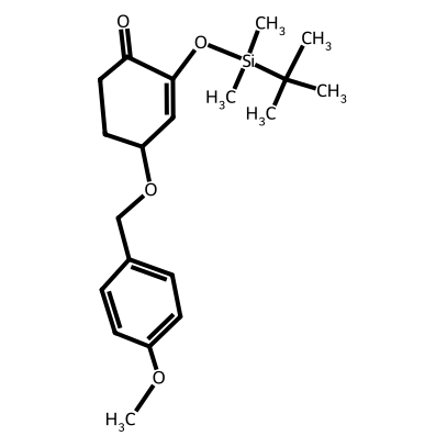 COc1ccc(COC2C=C(O[Si](C)(C)C(C)(C)C)C(=O)CC2)cc1